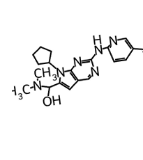 CN(C)C(O)c1cc2cnc(Nc3ccc(C=O)cn3)nc2n1C1CCCC1